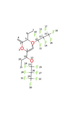 C=C(OC(=C)C(CC)OC(F)(F)C(F)(F)C(F)(F)F)C(CC)OC(F)(F)C(F)(F)C(F)(F)F